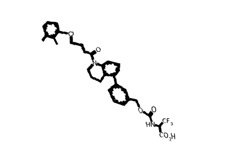 Cc1cccc(OCCCC(=O)N2CCCc3c(-c4cccc(COC(=O)NC(C(=O)O)C(F)(F)F)c4)cccc32)c1C